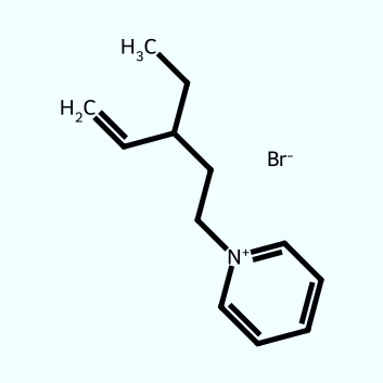 C=CC(CC)CC[n+]1ccccc1.[Br-]